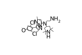 COc1cc(Cl)c(-c2c(C)nn3c(N(CCN)C4CC(C)(C)NC(C)(C)C4)cc(C)nc23)c(Cl)c1